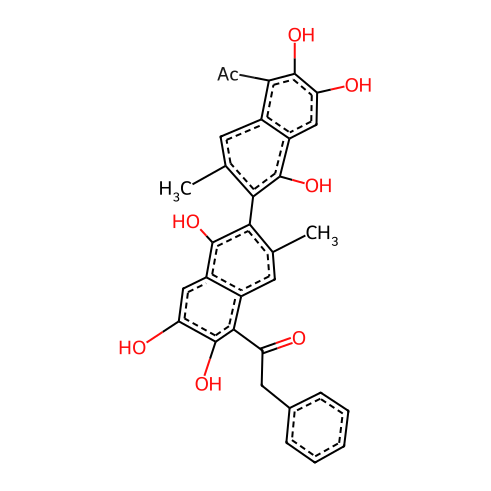 CC(=O)c1c(O)c(O)cc2c(O)c(-c3c(C)cc4c(C(=O)Cc5ccccc5)c(O)c(O)cc4c3O)c(C)cc12